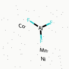 [Co].[F][Al]([F])[F].[Mn].[Ni]